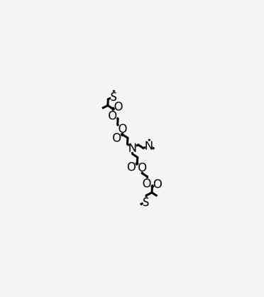 CSCC(C)C(=O)OCCOC(=O)CCN(CCC(=O)OCCOC(=O)C(C)CSC)CCN(C)C